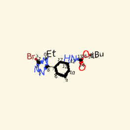 CCn1c(Br)nnc1[C@H]1CCC[C@@H](NC(=O)OC(C)(C)C)C1